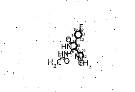 C=CC(=O)NCc1[nH]c(=O)c(-c2ccc(F)cc2)cc1-c1ccn(C)n1